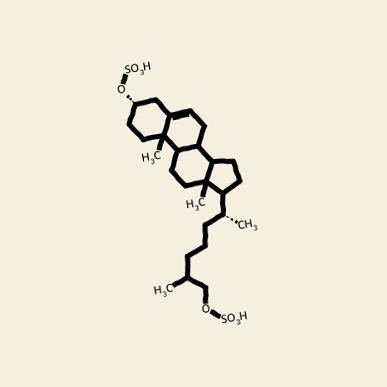 CC(CCC[C@@H](C)C1CCC2C3CC=C4C[C@@H](OS(=O)(=O)O)CCC4(C)C3CCC21C)COS(=O)(=O)O